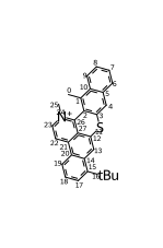 Cc1c2c(cc3ccccc13)Sc1cc3c(C(C)(C)C)cccc3c3cc[n+](C)c-2c13